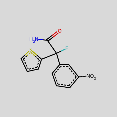 NC(=O)C(F)(c1cccc([N+](=O)[O-])c1)c1cccs1